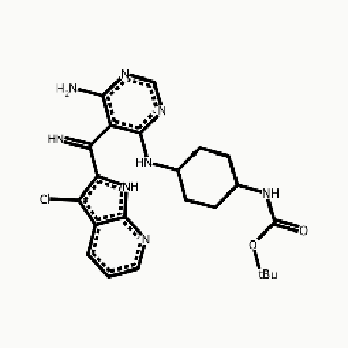 CC(C)(C)OC(=O)NC1CCC(Nc2ncnc(N)c2C(=N)c2[nH]c3ncccc3c2Cl)CC1